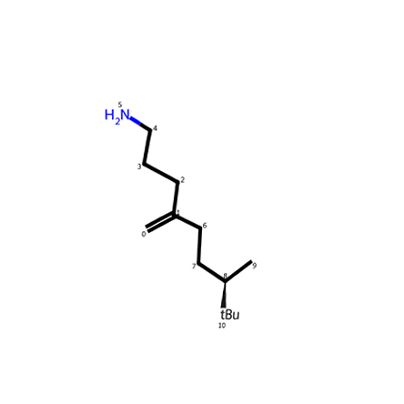 C=C(CCCN)CC[C@@H](C)C(C)(C)C